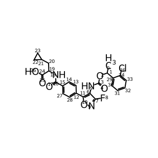 CC(OC(=O)Nc1c(F)noc1-c1ccc(C(=O)NC(CC2CC2)C(=O)O)cc1)c1ccccc1Cl